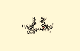 COc1nn(CCOCCON(C)C(=O)N2N=C(c3cc(F)ccc3F)S[C@@]2(CCCNC(=O)OC(C)(C)C)c2ccccc2)cc1Nc1nc(N2C[C@@H](N)[C@H](F)C2)nc2c1ncn2C